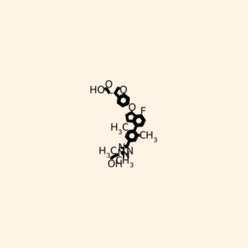 Cc1cc(-c2nnn(C(C)(C)CO)n2)cc(C)c1-c1ccc(F)c2c1CC[C@H]2Oc1ccc2c(c1)OC[C@H]2CC(=O)O